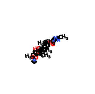 Cc1cn2c(n1)CN(C(=O)O[C@H]1CC[C@]34C[C@]35CC[C@]3(C)[C@@H]6[C@H](O[C@@H]([C@H](OC(=O)N7CCC7)C(C)C)C[C@H]6C)[C@H](O)[C@@]3(C)[C@@H]5CC[C@H]4C1(C)C)CC2